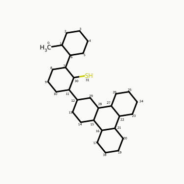 CC1CCCCC1C1CCCC(C2CCC3C4CCCCC4C4CCCCC4C3C2)C1S